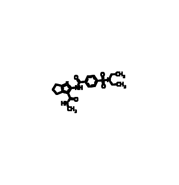 CCN(CC)S(=O)(=O)c1ccc(C(=O)Nc2sc3c(c2C(=O)NC)CCC3)cc1